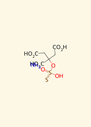 N.O=C(O)CC(CC(=O)O)(OS(=O)(O)=S)C(=O)O